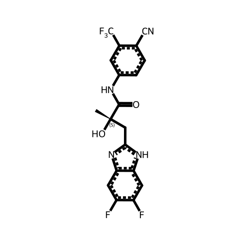 C[C@](O)(Cc1nc2cc(F)c(F)cc2[nH]1)C(=O)Nc1ccc(C#N)c(C(F)(F)F)c1